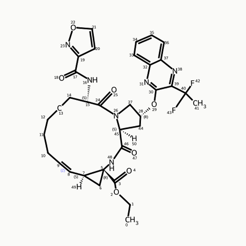 CCOC(=O)[C@@]12C[C@H]1/C=C\CCCCC[C@H](NC(=O)c1ccon1)C(=O)N1C[C@H](Oc3nc4ccccc4nc3C(C)(F)F)C[C@H]1C(=O)N2